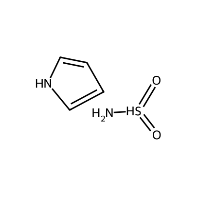 N[SH](=O)=O.c1cc[nH]c1